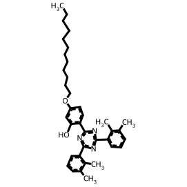 CCCCCCCCCCCCOc1ccc(-c2nc(-c3cccc(C)c3C)nc(-c3cccc(C)c3C)n2)c(O)c1